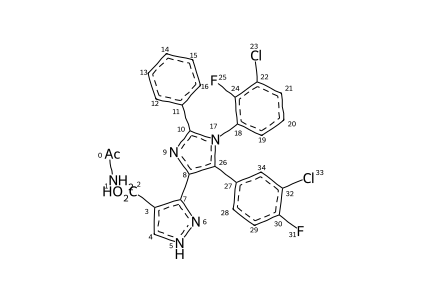 CC(N)=O.O=C(O)c1c[nH]nc1-c1nc(-c2ccccc2)n(-c2cccc(Cl)c2F)c1-c1ccc(F)c(Cl)c1